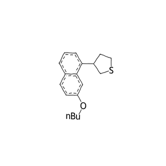 CCCCOc1ccc2cccc(C3CCSC3)c2c1